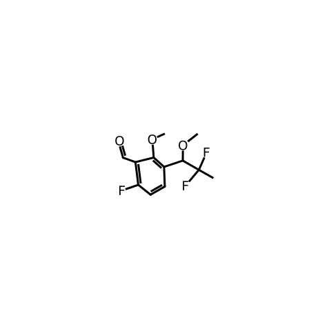 COc1c(C(OC)C(C)(F)F)ccc(F)c1C=O